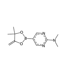 C=C1OB(c2cnc(N(C)C)nc2)OC1(C)C